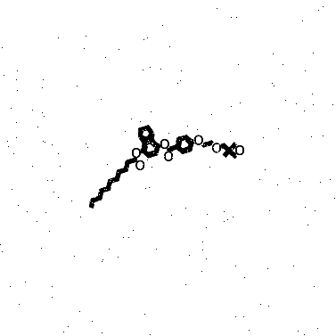 CCCCCCCCCCC(=O)Oc1ccc(OC(=O)c2ccc(OCCOCC3(C)COC3)cc2)c2c1C1CCC2C1